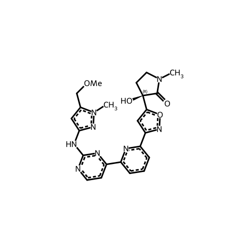 COCc1cc(Nc2nccc(-c3cccc(-c4cc([C@]5(O)CCN(C)C5=O)on4)n3)n2)nn1C